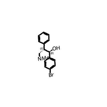 CNC[C@H](c1ccccc1)[C@@H](O)c1ccc(Br)cc1